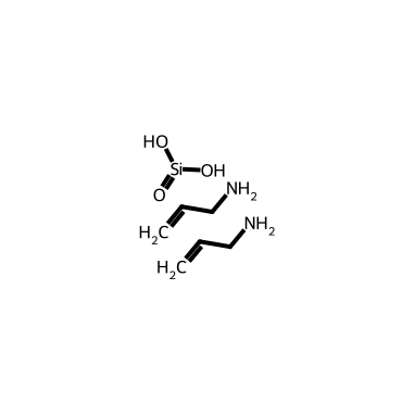 C=CCN.C=CCN.O=[Si](O)O